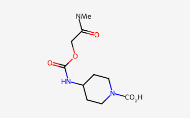 CNC(=O)COC(=O)NC1CCN(C(=O)O)CC1